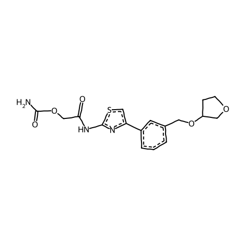 NC(=O)OCC(=O)Nc1nc(-c2cccc(COC3CCOC3)c2)cs1